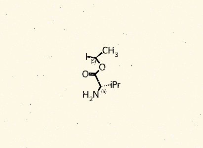 CC(C)[C@H](N)C(=O)O[C@H](C)I